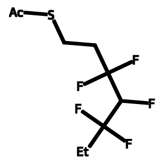 CCC(F)(F)C(F)C(F)(F)CCSC(C)=O